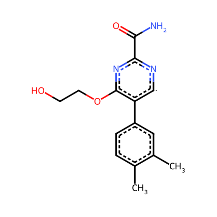 Cc1ccc(-c2[c]nc(C(N)=O)nc2OCCO)cc1C